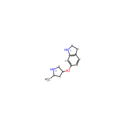 CC1CC(Oc2ccc3c(c2)NCC3)CN1